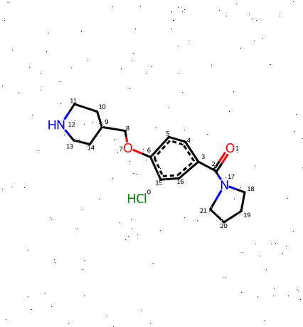 Cl.O=C(c1ccc(OCC2CCNCC2)cc1)N1CCCC1